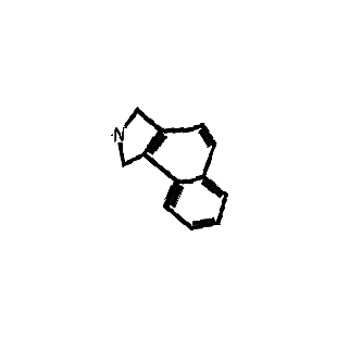 c1ccc2c3c(ccc2c1)C[N]C3